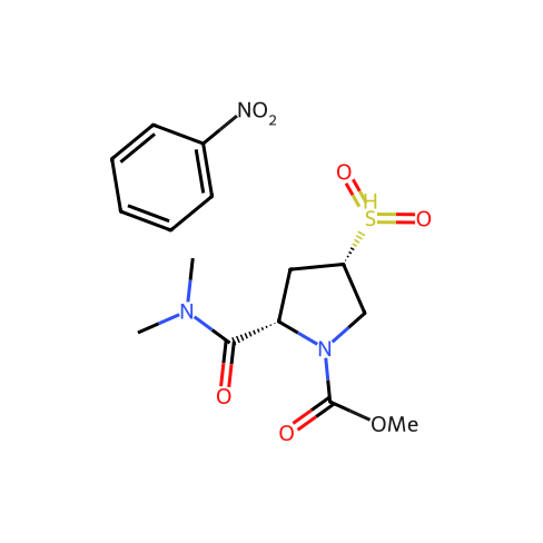 COC(=O)N1C[C@@H]([SH](=O)=O)C[C@H]1C(=O)N(C)C.O=[N+]([O-])c1ccccc1